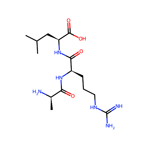 CC(C)C[C@H](NC(=O)[C@@H](CCCNC(=N)N)NC(=O)[C@@H](C)N)C(=O)O